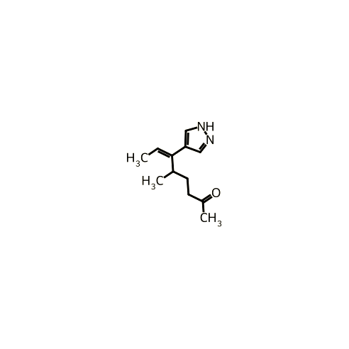 C/C=C(/c1cn[nH]c1)C(C)CCC(C)=O